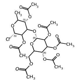 CC(=O)OCC1O[C@H](OC2C(OC(C)=O)[C@H](Cl)OC(C)[C@@H]2OC(C)=O)C(OC(C)=O)C(OC(C)=O)[C@@H]1OC(C)=O